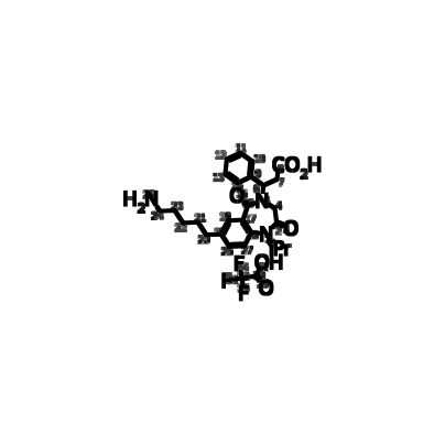 CC(C)N1C(=O)CN(C(CC(=O)O)c2ccccc2)C(=O)c2cc(CCCCCN)ccc21.O=C(O)C(F)(F)F